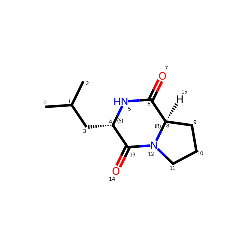 CC(C)C[C@@H]1NC(=O)[C@H]2CCCN2C1=O